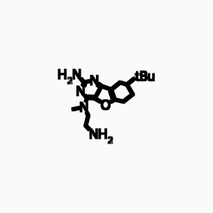 CN(CCN)c1nc(N)nc2c3c(oc12)CCC(C(C)(C)C)C3